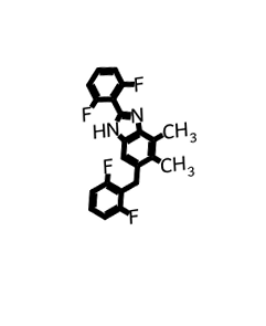 Cc1c(Cc2c(F)cccc2F)cc2[nH]c(-c3c(F)cccc3F)nc2c1C